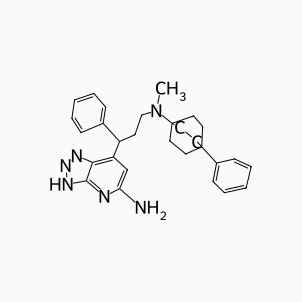 CN(CCC(c1ccccc1)c1cc(N)nc2[nH]nnc12)C12CCC(c3ccccc3)(CC1)CC2